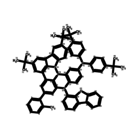 Cc1ccccc1-c1cc2c3c(c1)N(c1cccc4c1oc1ccccc14)c1ccc(N(c4ccc(C(C)(C)C)cc4)c4ccc(C(C)(C)C)cc4)cc1B3n1c3ccc(C(C)(C)C)cc3c3cc(C(C)(C)C)cc-2c31